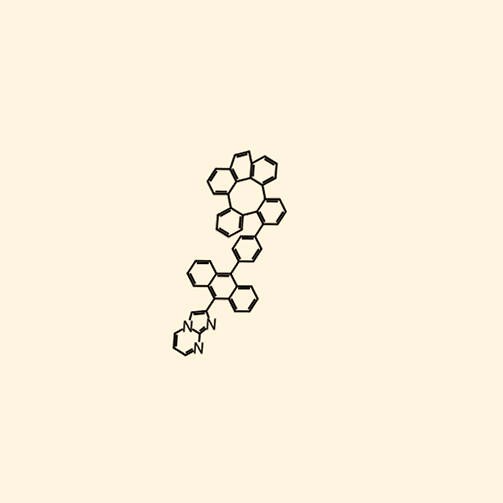 c1ccc2c(-c3cn4cccnc4n3)c3ccccc3c(-c3ccc(-c4cccc5c6cccc7ccc8cccc(c9ccccc9c45)c8c76)cc3)c2c1